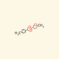 Cc1ccc(C2COC(C3CCC(C)OC3)OC2)cc1